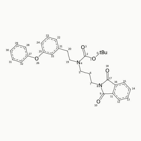 CC(C)(C)OC(=O)N(CCCN1C(=O)c2ccccc2C1=O)CCc1cccc(Oc2ccccc2)c1